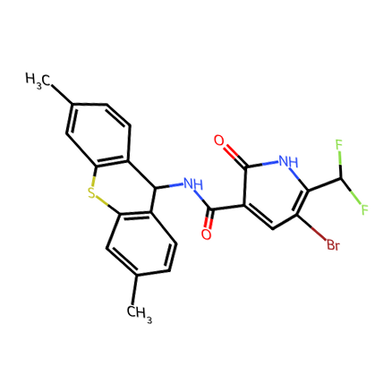 Cc1ccc2c(c1)Sc1cc(C)ccc1C2NC(=O)c1cc(Br)c(C(F)F)[nH]c1=O